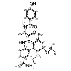 CCOc1cc(C(Nc2ccc(C(=N)N)cc2)C(=O)N(C)N(C)C(=O)c2ccc(O)cc2)c(F)cc1OC(C)C